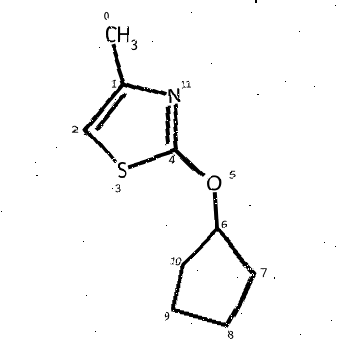 Cc1[c]sc(OC2CCCC2)n1